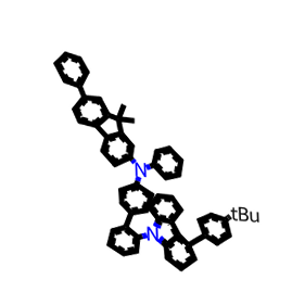 CC(C)(C)c1ccc(-c2cccc3c2c2ccccc2n3-c2ccccc2-c2ccc(N(c3ccccc3)c3ccc4c(c3)C(C)(C)c3cc(-c5ccccc5)ccc3-4)cc2)cc1